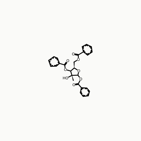 C[C@]1(O)C(OC(=O)c2ccccc2)O[C@H](COC(=O)c2ccccc2)C1OC(=O)c1ccccc1